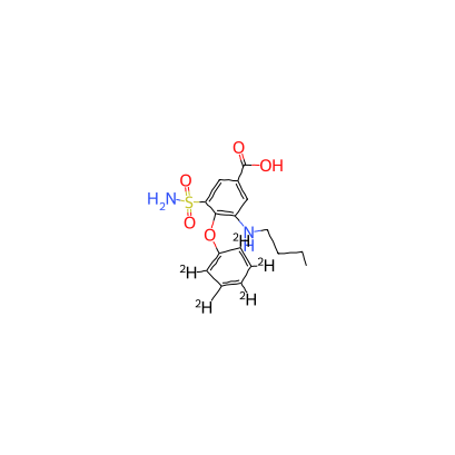 [2H]c1c([2H])c([2H])c(Oc2c(NCCCC)cc(C(=O)O)cc2S(N)(=O)=O)c([2H])c1[2H]